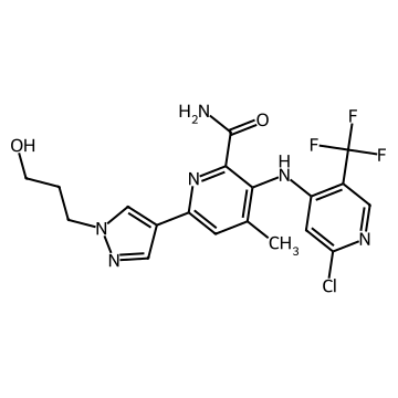 Cc1cc(-c2cnn(CCCO)c2)nc(C(N)=O)c1Nc1cc(Cl)ncc1C(F)(F)F